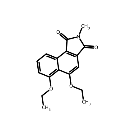 CCOc1cccc2c3c(cc(OCC)c12)C(=O)N(C)C3=O